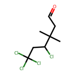 CC(C)(CC=O)C(Cl)CC(Cl)(Cl)Cl